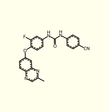 Cc1cnc2ccc(Oc3ccc(NC(=O)Nc4ccc(C#N)cc4)cc3F)cc2n1